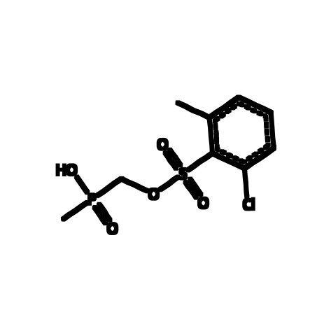 Cc1cccc(Cl)c1S(=O)(=O)OCP(C)(=O)O